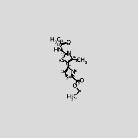 CCOC(=O)c1nc(-c2sc(NC(C)=O)nc2C)cs1